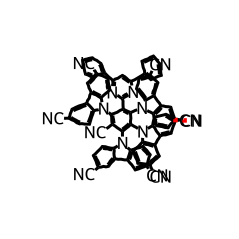 N#Cc1ccc2c(c1)c1cc(C#N)ccc1n2-c1c(C#N)c(-n2c3ccc(C#N)cc3c3cc(C#N)ccc32)c(-n2c3ccc(C#N)cc3c3cc(C#N)ccc32)c(-n2c3ccc(C#N)cc3c3cc(C#N)ccc32)c1-c1nc(-c2ccccc2)cc(-c2ccccc2)n1